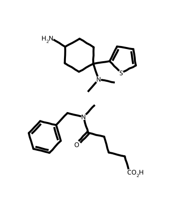 CN(C)C1(c2cccs2)CCC(N)CC1.CN(Cc1ccccc1)C(=O)CCCC(=O)O